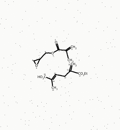 C=C(C)C(=O)OCC1CO1.C=C(CC=C(C)C(=O)O)C(=O)OCC